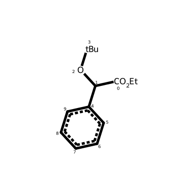 CCOC(=O)C(OC(C)(C)C)c1ccccc1